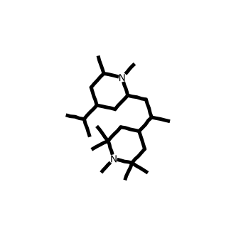 CC(C)C1CC(C)N(C)C(CC(C)C2CC(C)(C)N(C)C(C)(C)C2)C1